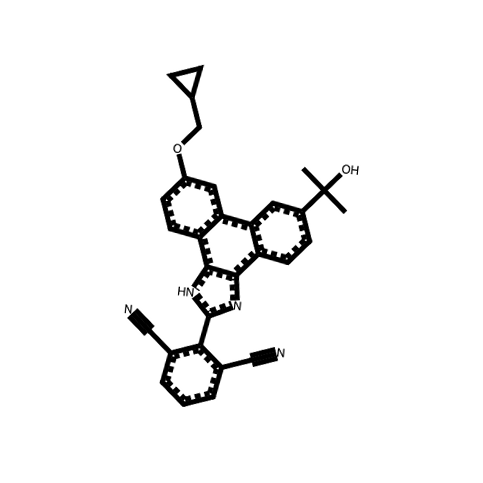 CC(C)(O)c1ccc2c(c1)c1cc(OCC3CC3)ccc1c1[nH]c(-c3c(C#N)cccc3C#N)nc21